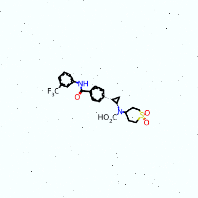 O=C(Nc1cccc(C(F)(F)F)c1)c1ccc([C@@H]2C[C@H]2N(C(=O)O)C2CCS(=O)(=O)CC2)cc1